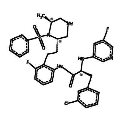 C[C@H]1CNC[C@H](CCc2c(F)cccc2NC(=O)[C@H](Cc2cccc(Cl)c2)Nc2cncc(F)c2)N1S(=O)(=O)c1ccccc1